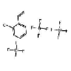 C=Cc1ccccc1Cl.F[B-](F)(F)F.F[B-](F)(F)F.F[B-](F)(F)F